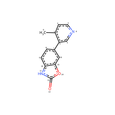 Cc1ccncc1-c1ccc2[nH]c(=O)oc2c1